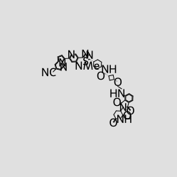 CNc1cc(-c2ccc3cc(C#N)cnn23)ncc1-c1nnc([C@H]2CC[C@@H](NC(=O)[C@H]3C[C@@H](OCCNc4cccc5c4C(=O)N(C4CCC(=O)NC4=O)C5=O)C3)CC2)s1